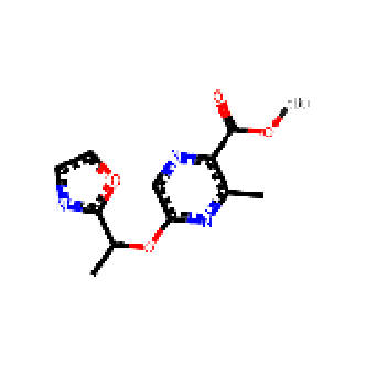 Cc1nc(OC(C)c2ncco2)cnc1C(=O)OC(C)(C)C